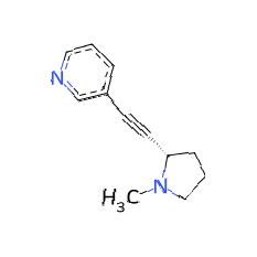 CN1CCC[C@H]1C#Cc1cccnc1